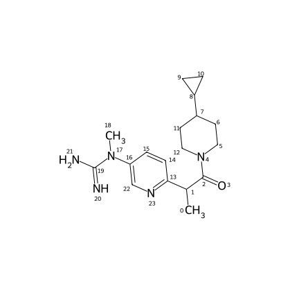 CC(C(=O)N1CCC(C2CC2)CC1)c1ccc(N(C)C(=N)N)cn1